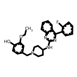 CCOc1cc(CN2CCC(Nc3nc(-c4ccccc4F)c4ccccc4n3)CC2)ccc1O